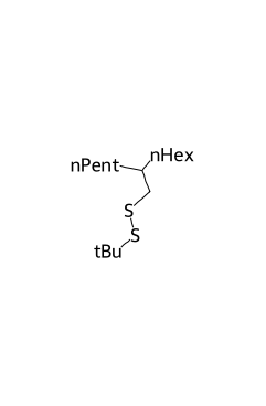 CCCCCCC(CCCCC)CSSC(C)(C)C